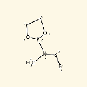 CN(SBr)P1OCCO1